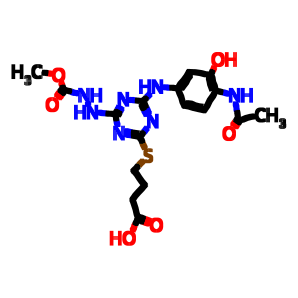 COC(=O)NNc1nc(Nc2ccc(NC(C)=O)c(O)c2)nc(SCCCC(=O)O)n1